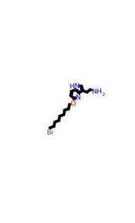 NCCc1c[nH]c2ccc(OCCCCCCCCCBr)nc12